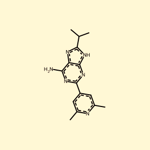 Cc1cc(-c2nc(N)c3nc(C(C)C)[nH]c3n2)cc(C)n1